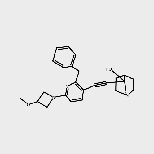 COC1CN(c2ccc(C#CC3(O)CN4CCC3CC4)c(Cc3ccccc3)n2)C1